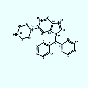 c1ccc(C(c2ccccc2)n2cnc3cnc(N4CCNCC4)cc32)cc1